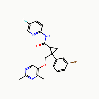 Cc1ncc(OCC2(c3cccc(Br)c3)CC2C(=O)Nc2ccc(F)cn2)c(C)n1